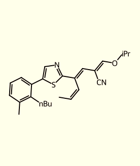 C\C=C/C(=C\C(C#N)=C\OC(C)C)c1ncc(-c2cccc(C)c2CCCC)s1